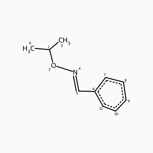 CC(C)O/N=C/c1c[c]ccc1